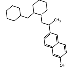 CC(CN1CCCCC1CC1CCCCC1)c1ccc2cc(O)ccc2c1